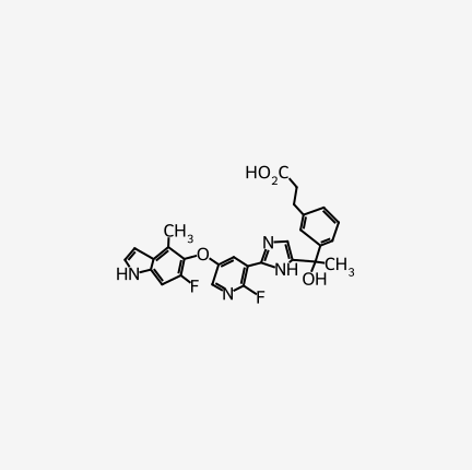 Cc1c(Oc2cnc(F)c(-c3ncc(C(C)(O)c4cccc(CCC(=O)O)c4)[nH]3)c2)c(F)cc2[nH]ccc12